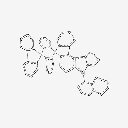 c1ccc2c(c1)-c1ccccc1C21c2ccccc2C2(c3ccccc3-c3c2ccc2c3c3ccccc3n2-c2cccc3ccccc23)c2ccccc21